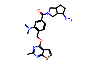 Cc1nc(OCc2ccc(C(=O)N3CC4CCC(N)C4C3)cc2N(C)C)c2ccsc2n1